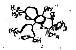 CCCC(CC(=O)O)c1c2c(c(O)c3c1O[C@@H](C)[C@H](C)C3=O)C=CC(C)(C)O2